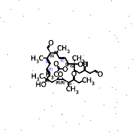 CCC(=O)[C@@H](C)[C@H]1O[C@@H]1C[C@](C)(O)/C=C/C=C(\C)[C@@H](C=O)[C@@H](C)/C=C/[C@H](OC(C)=O)[C@@](C)(O)CCC(=O)CC=O